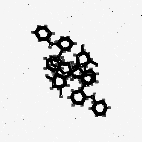 Cc1cc(C)c(N2CCN(c3ccccc3Oc3ccccc3)/C2=[N]/[Zr]([CH2]c2ccccc2)([CH2]c2ccccc2)/[N]=C2/N(c3ccccc3Oc3ccccc3)CCN2c2c(C)cc(C)cc2C)c(C)c1